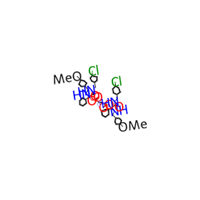 COc1ccc(CNC(OC(=O)/C=C/C(=O)OC(NCc2ccc(OC)cc2)(C(=O)NCc2ccc(Cl)cc2)c2ccccc2)(C(=O)NCc2ccc(Cl)cc2)c2ccccc2)cc1